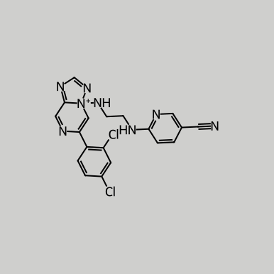 N#Cc1ccc(NCCN[N+]23C=C(c4ccc(Cl)cc4Cl)N=CC2=NC=N3)nc1